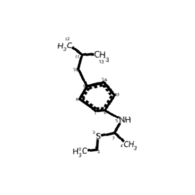 CCSC(C)Nc1ccc(CC(C)C)cc1